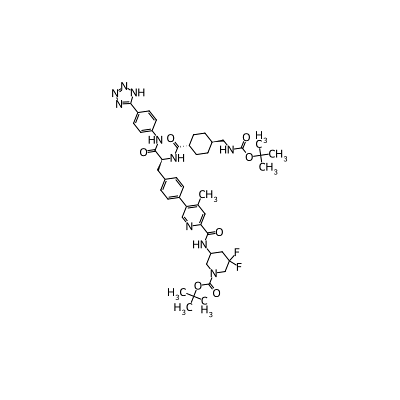 Cc1cc(C(=O)NC2CN(C(=O)OC(C)(C)C)CC(F)(F)C2)ncc1-c1ccc(C[C@H](NC(=O)[C@H]2CC[C@H](CNC(=O)OC(C)(C)C)CC2)C(=O)Nc2ccc(-c3nnn[nH]3)cc2)cc1